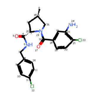 C[C@@H]1C[C@@H](C(=O)NCc2ccc(Cl)cc2)N(C(=O)c2ccc(Cl)c(N)c2)C1